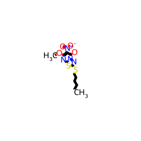 CCCCCCSc1nn2c(=O)c([N+](=O)[O-])c(OC)nc2s1